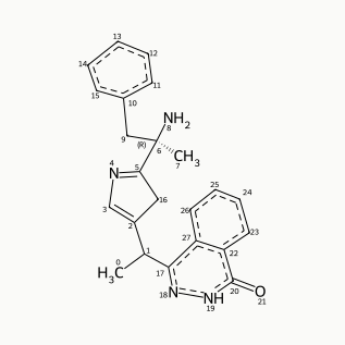 CC(C1=CN=C([C@](C)(N)Cc2ccccc2)C1)c1n[nH]c(=O)c2ccccc12